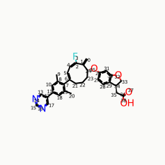 C=C1/C(F)=C\C=C(\c2c(C)cc(-c3cncnc3)cc2C)CCC[C@H]1Oc1ccc2c(c1)OC[C@H]2CC(=O)O